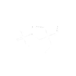 CCCO[Si](CCP(=O)(CC)CC)(OCCC)OCCC